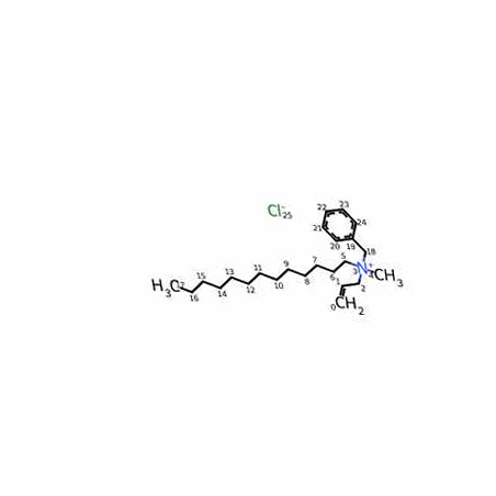 C=CC[N+](C)(CCCCCCCCCCCCC)Cc1ccccc1.[Cl-]